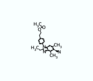 CCc1nc2c(C)c(C#N)c(C)cc2n1-c1ccc(CCOC(C)=O)cc1